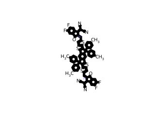 Cc1ccc(C2(c3ccc(C)cc3)c3cc4c(cc3-c3sc5cc(/C=C6\C(=O)c7cc(F)c(F)cc7C6=C(C#N)C#N)sc5c32)C(c2ccc(C)cc2)(c2ccc(C)cc2)c2c-4sc3cc(/C=C4\C(=O)c5cc(F)c(F)cc5C4=C(C#N)C#N)sc23)cc1